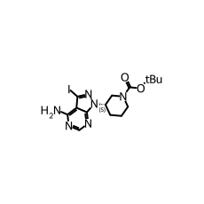 CC(C)(C)OC(=O)N1CCC[C@H](n2nc(I)c3c(N)ncnc32)C1